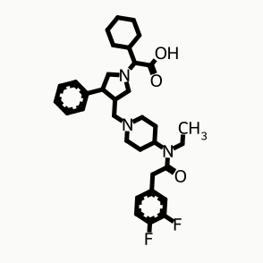 CCN(C(=O)Cc1ccc(F)c(F)c1)C1CCN(CC2CN(C(C(=O)O)C3CCCCC3)CC2c2ccccc2)CC1